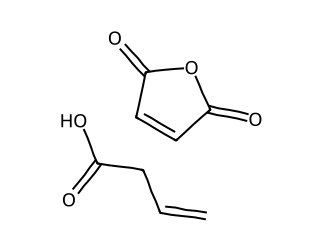 C=CCC(=O)O.O=C1C=CC(=O)O1